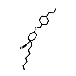 CCCCCCCC1(C#N)CCC(OCC2CCC(CCC)CC2)CC1